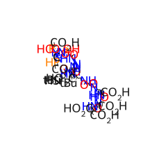 CC(C)(C)[SiH](c1ccc(C(=O)NC[C@@H](C(=O)N[C@@H](CCCCNC(=O)CCC(=O)NCCC[C@H](NC(=O)CC[C@H](NC(=O)N[C@@H](CCC(=O)O)C(=O)O)C(=O)O)C(=O)O)C(=O)O)n2cc(CNC(=O)CCP(=O)(O)CN3CCN(CPCCC(=O)O)CCN(CP(=O)(O)CCC(=O)O)CC3)nn2)cc1)C(C)(C)C